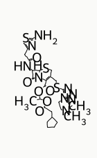 CC(OC(=O)CC1CCCC1)OC(=O)C1=C(CSc2nnnn2CCN(C)C)CS[C@H]2[C@H](NC(=O)Cc3csc(N)n3)C(=O)N12